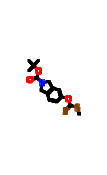 CSC(=S)Oc1ccc2c(c1)CN(C(=O)OC(C)(C)C)C2